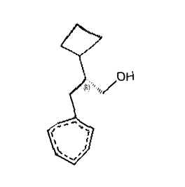 OC[C@H](Cc1ccccc1)C1CCC1